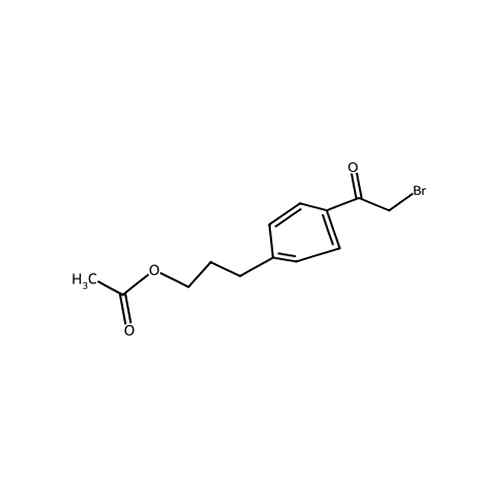 CC(=O)OCCCc1ccc(C(=O)CBr)cc1